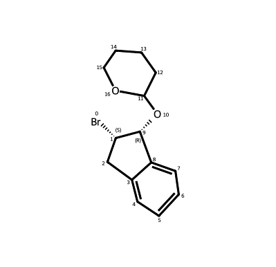 Br[C@H]1Cc2ccccc2[C@H]1OC1CCCCO1